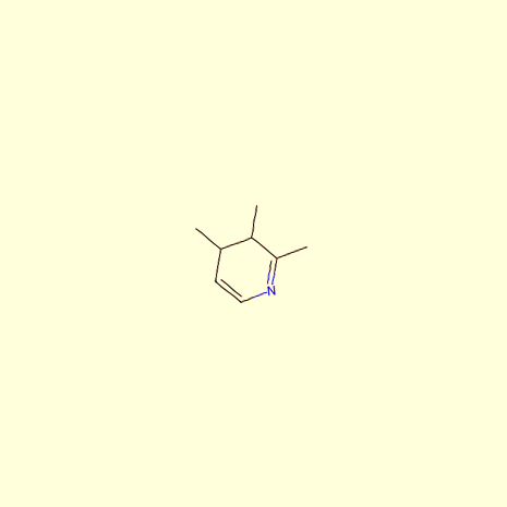 CC1=NC=CC(C)C1C